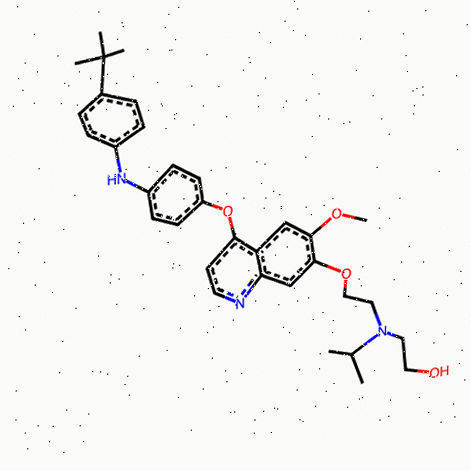 COc1cc2c(Oc3ccc(Nc4ccc(C(C)(C)C)cc4)cc3)ccnc2cc1OCCN(CCO)C(C)C